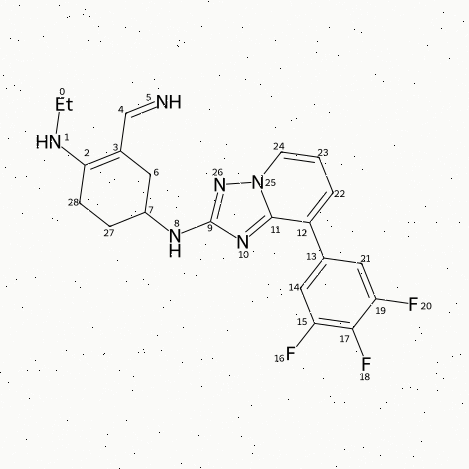 CCNC1=C(C=N)CC(Nc2nc3c(-c4cc(F)c(F)c(F)c4)cccn3n2)CC1